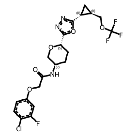 O=C(COc1ccc(Cl)c(F)c1)N[C@@H]1CC[C@@H](c2nnc([C@@H]3C[C@H]3COC(F)(F)F)o2)OC1